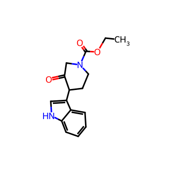 CCOC(=O)N1CCC(c2c[nH]c3ccccc23)C(=O)C1